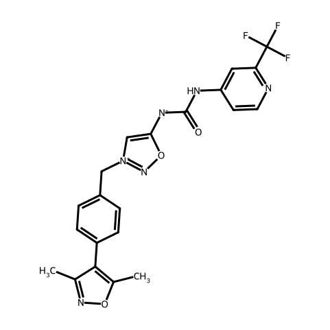 Cc1noc(C)c1-c1ccc(C[n+]2cc([N-]C(=O)Nc3ccnc(C(F)(F)F)c3)on2)cc1